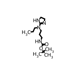 CCCN(CCCNC(=O)OC(C)(C)C)C1=NCCN1